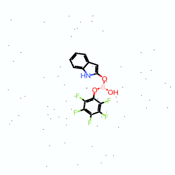 OB(Oc1cc2ccccc2[nH]1)Oc1c(F)c(F)c(F)c(F)c1F